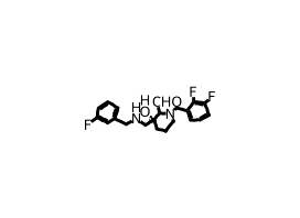 O=CC1N(Cc2cccc(F)c2F)CCC[C@]1(O)CNCc1cccc(F)c1